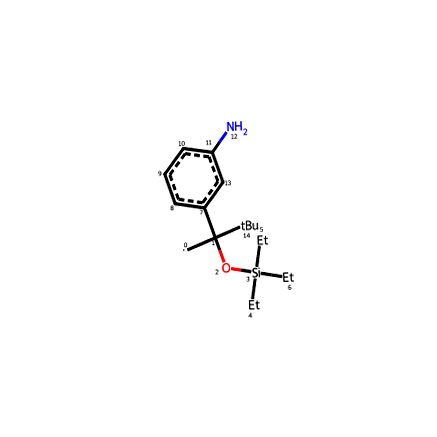 [CH2]C(O[Si](CC)(CC)CC)(c1cccc(N)c1)C(C)(C)C